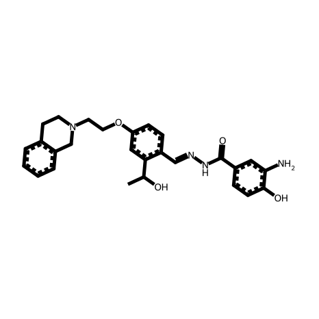 CC(O)c1cc(OCCN2CCc3ccccc3C2)ccc1/C=N/NC(=O)c1ccc(O)c(N)c1